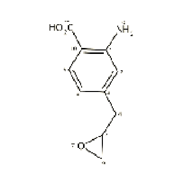 Nc1cc(CC2CO2)ccc1C(=O)O